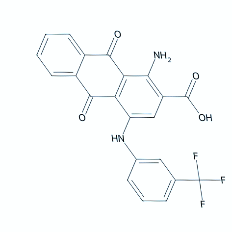 Nc1c(C(=O)O)cc(Nc2cccc(C(F)(F)F)c2)c2c1C(=O)c1ccccc1C2=O